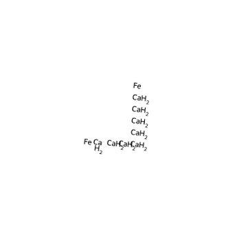 [CaH2].[CaH2].[CaH2].[CaH2].[CaH2].[CaH2].[CaH2].[CaH2].[Fe].[Fe]